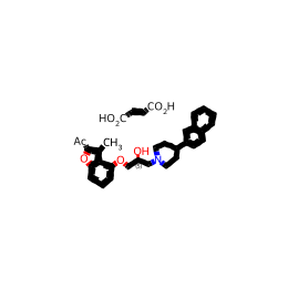 CC(=O)c1oc2cccc(OC[C@@H](O)CN3CCC(c4ccc5ccccc5c4)CC3)c2c1C.O=C(O)C=CC(=O)O